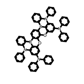 c1ccc(N(c2ccccc2)c2cc3c4c(c2)N(c2ccccc2)c2ccccc2B4c2ccc4c(c2O3)Oc2cc(N(c3ccccc3)c3ccccc3)cc3c2B4c2ccccc2N3c2ccccc2)cc1